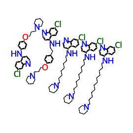 Clc1ccc2c(NCCCCCCCCCCCCN3CCCCC3)ccnc2c1.Clc1ccc2c(NCCCCCCCCCCN3CCCCC3)ccnc2c1.Clc1ccc2c(NCCCCCCCCN3CCCCC3)ccnc2c1.Clc1ccc2c(NCCc3ccc(OCCCN4CCCCC4)cc3)ccnc2c1.Clc1ccc2c(Nc3ccc(OCCCN4CCCCC4)cc3)ccnc2c1